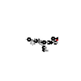 CC1OCCN(C2CC3(CCN(c4ccc(C(=O)NS(=O)(=O)c5cnc(NC[C@H]6CC[C@@H](C)CC6)c([N+](=O)[O-])c5)c(Oc5cnc6[nH]ccc6c5)c4)CC3)C2)[C@@H]1c1ccccc1C1CC1